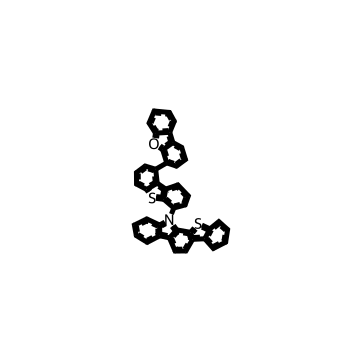 c1ccc2c(c1)oc1c(-c3cccc4sc5c(-n6c7ccccc7c7ccc8c9ccccc9sc8c76)cccc5c34)cccc12